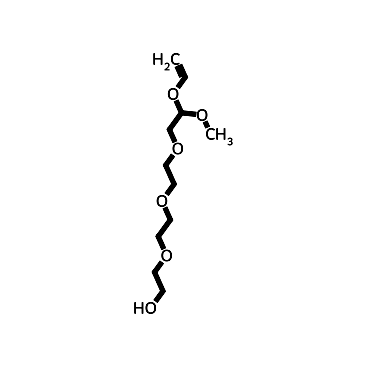 C=COC(COCCOCCOCCO)OC